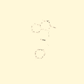 CCOC(=O)c1ccc(NC(=O)Cn2c(=O)cnc3ccccc32)cc1